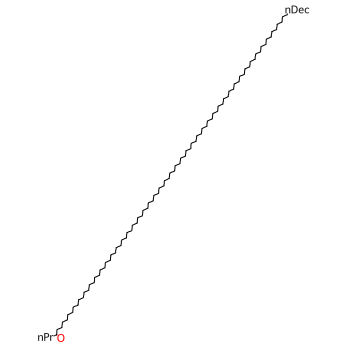 CCCCCCCCCCCCCCCCCCCCCCCCCCCCCCCCCCCCCCCCCCCCCCCCCCCCCCCCCCCCCCCCCCCCCCCCCCCCCCCCCCCCCCCCCCCCCCCCC(=O)CCC